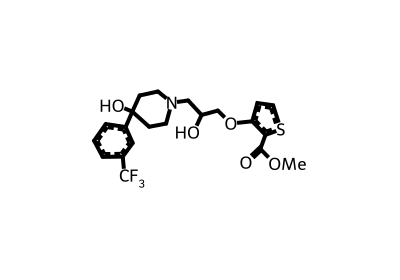 COC(=O)c1sccc1OCC(O)CN1CCC(O)(c2cccc(C(F)(F)F)c2)CC1